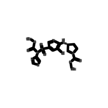 CC(C)(C)OC(=O)N1CC[C@@H](Nc2ncc(S(=O)(=O)N(C(=O)OC(C)(C)C)c3cscn3)cc2Cl)C1